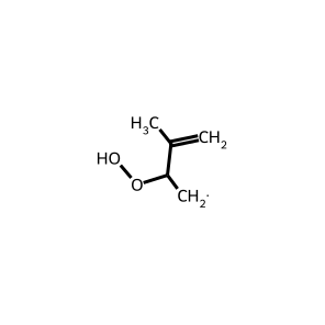 [CH2]C(OO)C(=C)C